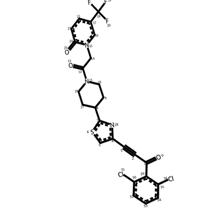 O=C(C#Cc1csc(C2CCN(C(=O)Cn3cc(C(F)(F)F)ccc3=O)CC2)n1)c1c(Cl)cccc1Cl